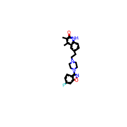 Cc1c(C)c2cc(CCN3CCN(c4noc5cc(F)ccc45)CC3)ccc2[nH]c1=O